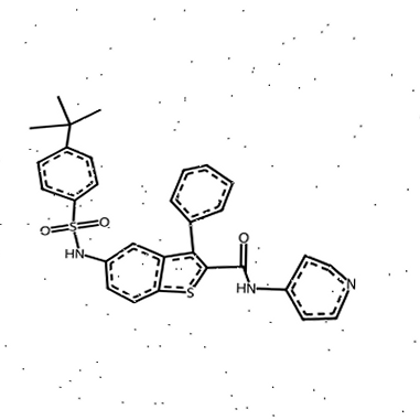 CC(C)(C)c1ccc(S(=O)(=O)Nc2ccc3sc(C(=O)Nc4ccncc4)c(-c4ccccc4)c3c2)cc1